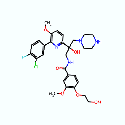 COc1cc(C(=O)NCC(O)(CN2CCNCC2)c2ccc(OC)c(-c3ccc(F)c(Cl)c3)n2)ccc1OCCO